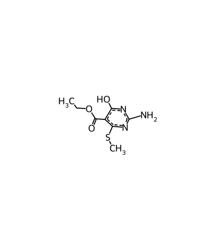 CCOC(=O)c1c(O)nc(N)nc1SC